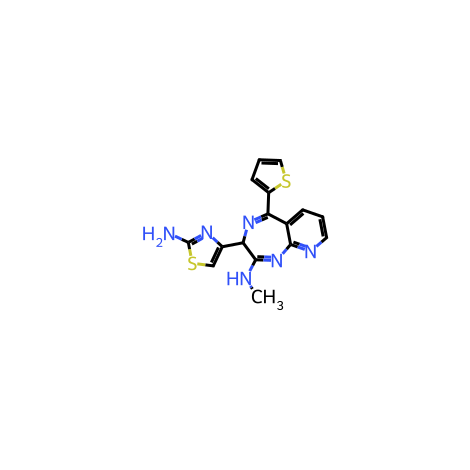 CNC1=Nc2ncccc2C(c2cccs2)=NC1c1csc(N)n1